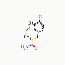 CCCC.NC(=O)SCc1ccc(Cl)cc1